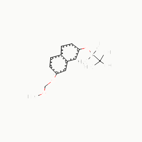 COCOc1ccc2ccc(O[Si](C)(C)C(C)(C)C)cc2c1